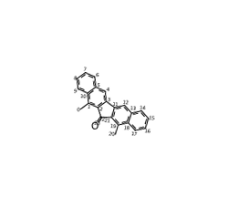 Cc1c2c(cc3ccccc13)-c1cc3ccccc3c(C)c1C2=O